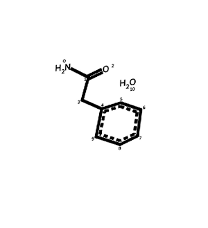 NC(=O)Cc1ccccc1.O